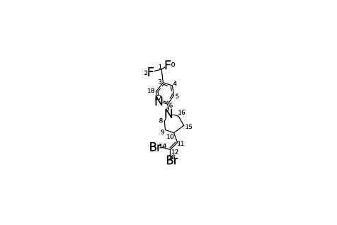 FC(F)c1ccc(N2CCC(C=C(Br)Br)CC2)nc1